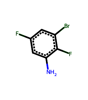 Nc1cc(F)cc(Br)c1F